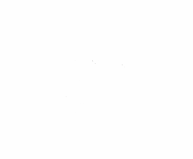 Cn1cc[n+](C2(C)CCCC(C)(C)C2)c1